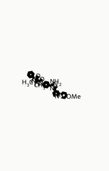 COC1CCN(c2cc(-c3cnc(N)c(-c4ccc(NC(=O)c5c(C)n(C)n(-c6ccccc6)c5=O)cc4)n3)ccn2)CC1